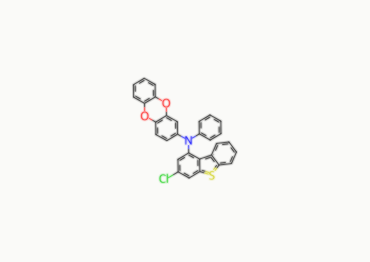 Clc1cc(N(c2ccccc2)c2ccc3c(c2)Oc2ccccc2O3)c2c(c1)sc1ccccc12